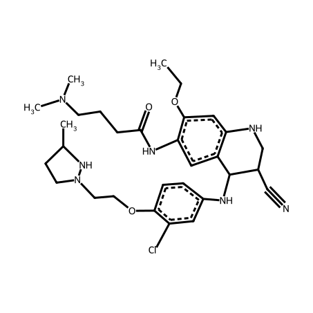 CCOc1cc2c(cc1NC(=O)CCCN(C)C)C(Nc1ccc(OCCN3CCC(C)N3)c(Cl)c1)C(C#N)CN2